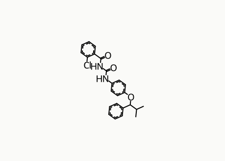 CC(C)C(Oc1ccc(NC(=O)NC(=O)c2ccccc2Cl)cc1)c1ccccc1